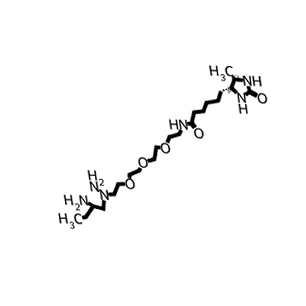 CCC(N)CN(N)CCOCCOCCOCCNC(=O)CCCCC[C@H]1NC(=O)N[C@H]1C